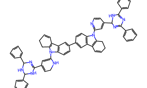 C1=Cc2c(n(C3=CC(C4=NC(c5ccccc5)NC(c5ccccc5)N4)=CCN3)c3ccc(-c4ccc5c(c4)c4c(n5-c5cc(C6N=C(c7ccccc7)N=C(c7ccccc7)N6)ccn5)CCC=C4)cc23)CC1